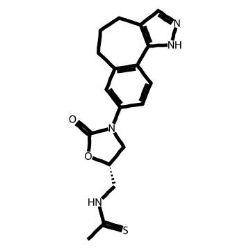 CC(=S)NC[C@H]1CN(c2ccc3c(c2)CCCc2cn[nH]c2-3)C(=O)O1